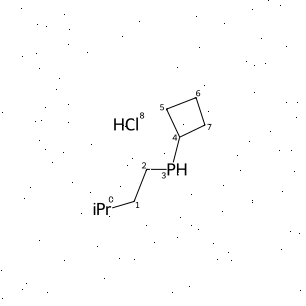 CC(C)CCPC1CCC1.Cl